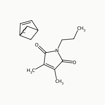 C1=CC23CC1C2C3.CCCN1C(=O)C(C)=C(C)C1=O